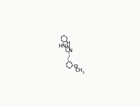 COc1cccc(CCc2cc(Nc3ccccc3)[nH]n2)c1